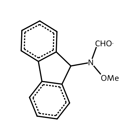 CON([C]=O)C1c2ccccc2-c2ccccc21